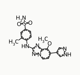 COc1c(-c2cn[nH]c2)ccn2nc(Nc3ccc(S(N)(=O)=O)cc3C)nc12